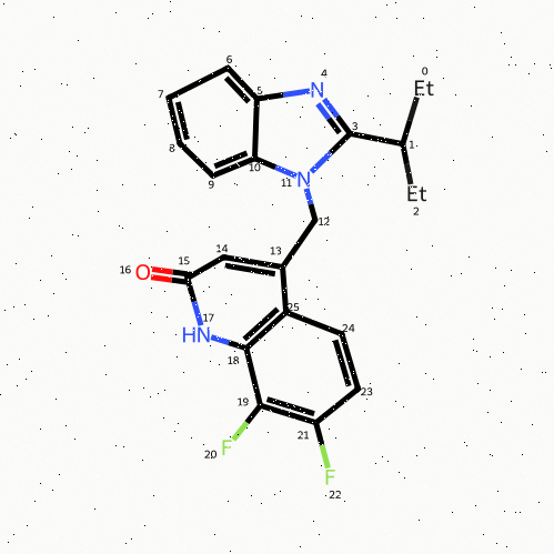 CCC(CC)c1nc2ccccc2n1Cc1cc(=O)[nH]c2c(F)c(F)ccc12